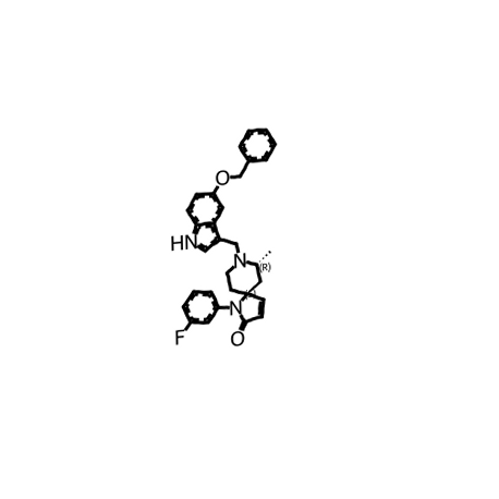 C[C@@H]1C[C@]2(C=CC(=O)N2c2cccc(F)c2)CCN1Cc1c[nH]c2ccc(OCc3ccccc3)cc12